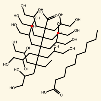 CCC(CC(O)CO)(CC(O)CO)C(CC(O)CO)(CC(O)CO)C(CC(O)CO)(CC(O)CO)C(CC(O)CO)(CC(O)CO)C(CC(O)CO)(CC(O)CO)C(=O)O.CCCCCCCCCC(=O)O